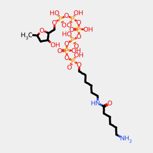 CC1CC(O)C(COP(=O)(O)OP(=O)(O)OP(=O)(O)OP(=O)(O)OP(=O)(O)OP(=O)(O)OCCCCCCNC(=O)CCCCCN)O1